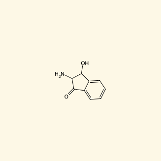 NC1C(=O)c2ccccc2C1O